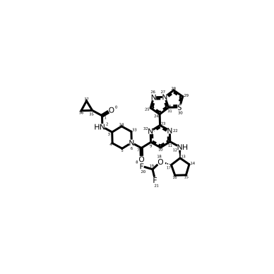 O=C(NC1CCN(C(=O)c2cc(N[C@H]3CCC[C@@H]3OC(F)F)nc(-c3cnn4ccsc34)n2)CC1)C1CC1